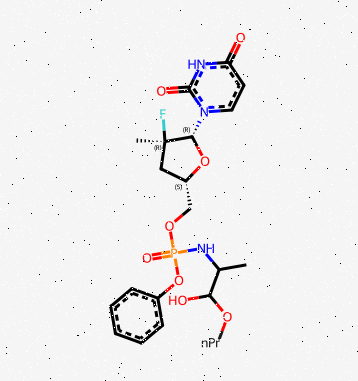 CCCOC(O)C(C)NP(=O)(OC[C@@H]1C[C@@](C)(F)[C@H](n2ccc(=O)[nH]c2=O)O1)Oc1ccccc1